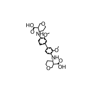 COc1cc(-c2ccc(N[C@@H]3CCOCC3C(=O)O)c(OC)c2)ccc1NC1CCOCC1C(=O)O